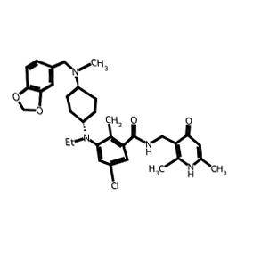 CCN(c1cc(Cl)cc(C(=O)NCc2c(C)[nH]c(C)cc2=O)c1C)[C@H]1CC[C@H](N(C)Cc2ccc3c(c2)OCO3)CC1